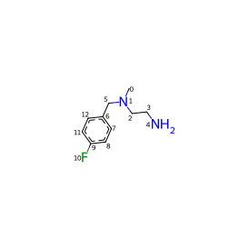 CN(CCN)Cc1ccc(F)cc1